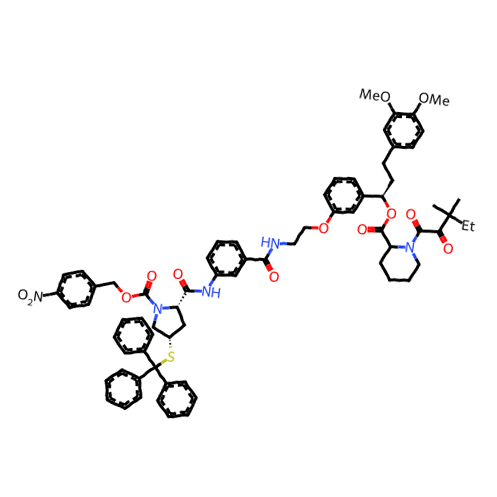 CCC(C)(C)C(=O)C(=O)N1CCCCC1C(=O)O[C@H](CCc1ccc(OC)c(OC)c1)c1cccc(OCCNC(=O)c2cccc(NC(=O)[C@@H]3C[C@H](SC(c4ccccc4)(c4ccccc4)c4ccccc4)CN3C(=O)OCc3ccc([N+](=O)[O-])cc3)c2)c1